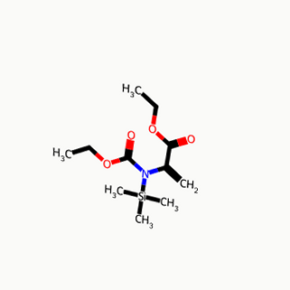 C=C(C(=O)OCC)N(C(=O)OCC)[Si](C)(C)C